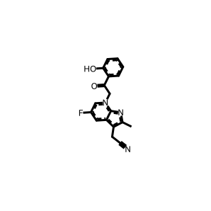 Cc1nc2n(CC(=O)c3ccccc3O)cc(F)cc-2c1CC#N